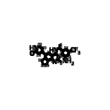 Cc1nc(NC(C)c2cc(N)cc(C(F)(F)F)c2)c2cc(-c3cc[nH]c(=O)c3)c3c(c2n1)CCC3